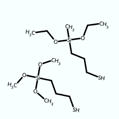 CCO[Si](C)(CCCS)OCC.CO[Si](CCCS)(OC)OC